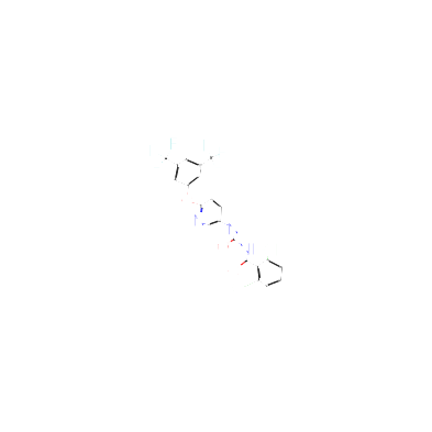 O=C(NC(=O)c1c(Cl)cccc1Cl)Nc1ccc(Oc2cc(C(F)(F)F)cc(C(F)(F)F)c2)nc1